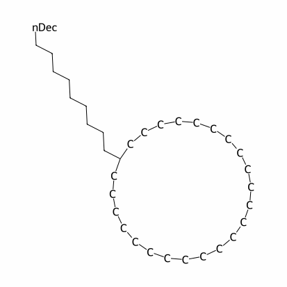 CCCCCCCCCCCCCCCCCCCC1CCCCCCCCCCCCCCCCCCCCCCC1